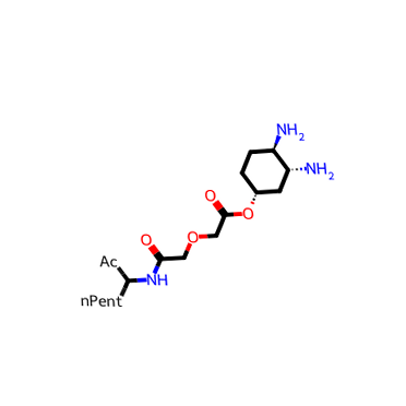 CCCCCC(NC(=O)COCC(=O)O[C@@H]1CC[C@@H](N)[C@H](N)C1)C(C)=O